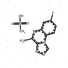 CS(=O)(=O)O.Nc1nc2cc(F)ccc2n2cnnc12